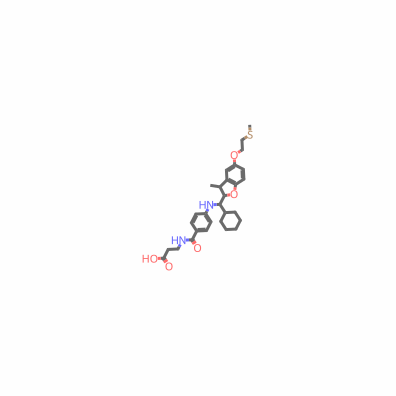 CSCCOc1ccc2c(c1)C(C)C(C(Nc1ccc(C(=O)NCCC(=O)O)cc1)C1CCCCC1)O2